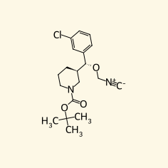 [C-]#[N+]CO[C@@H](c1cccc(Cl)c1)[C@@H]1CCCN(C(=O)OC(C)(C)C)C1